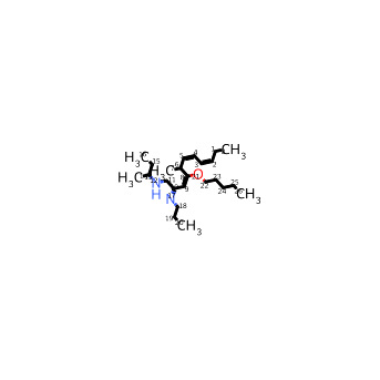 CC/C=C\C=C/C(C)/C(=C\C(CNC(C)CC)=N/CCC)OCCCCC